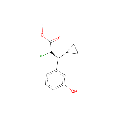 COC(=O)C(F)[C@H](c1cccc(O)c1)C1CC1